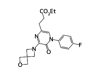 CCOC(=O)CCc1cn(-c2ccc(F)cc2)c(=O)c(N2CC3(COC3)C2)n1